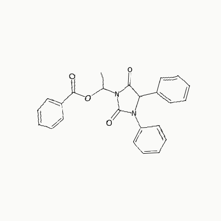 CC(OC(=O)c1ccccc1)N1C(=O)C(c2ccccc2)N(c2ccccc2)C1=O